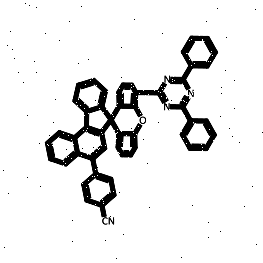 N#Cc1ccc(-c2cc3c(c4ccccc24)-c2ccccc2C32c3ccccc3Oc3c(-c4nc(-c5ccccc5)nc(-c5ccccc5)n4)cccc32)cc1